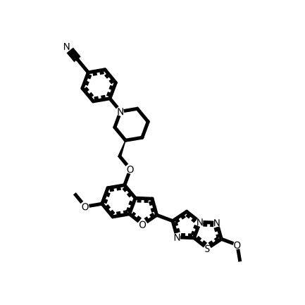 COc1cc(OC[C@@H]2CCCN(c3ccc(C#N)cc3)C2)c2cc(-c3cn4nc(OC)sc4n3)oc2c1